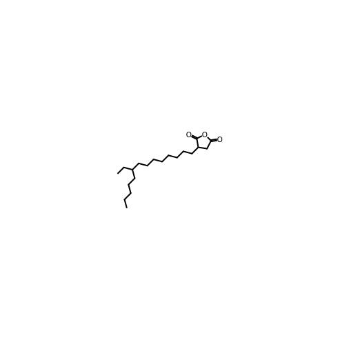 CCCCCC(CC)CCCCCCCCC1CC(=O)OC1=O